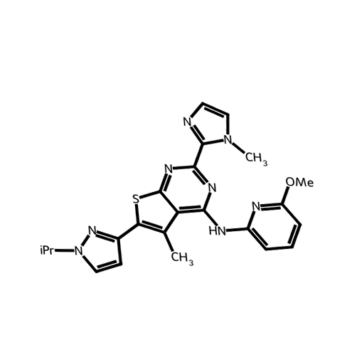 COc1cccc(Nc2nc(-c3nccn3C)nc3sc(-c4ccn(C(C)C)n4)c(C)c23)n1